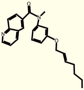 CCCCC=CCOc1cccc(N(C)C(=O)c2ccc3ncccc3c2)c1